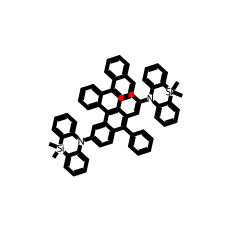 C[Si]1(C)c2ccccc2N(c2ccc3c(-c4ccccc4-c4cccc5ccccc45)c4cc(N5c6ccccc6[Si](C)(C)c6ccccc65)ccc4c(-c4ccccc4)c3c2)c2ccccc21